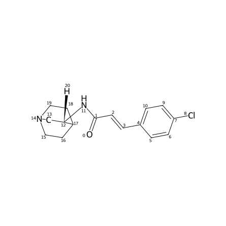 O=C(/C=C/c1ccc(Cl)cc1)N[C@H]1CN2CCC1CC2